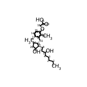 CCCCC[C@H](O)CC[C@@H]1[C@@H](Cc2cccc(OCC(=O)O)c2C)[C@@H](C)C[C@H]1O